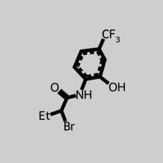 CCC(Br)C(=O)Nc1ccc(C(F)(F)F)cc1O